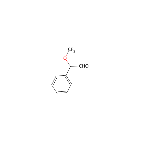 O=[C]C(OC(F)(F)F)c1ccccc1